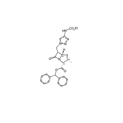 CCOC(=O)Nc1cn(CC2C(=O)N3[C@H]2S[C@H](C)[C@@H]3C(=O)OC(c2ccccc2)c2ccccc2)nn1